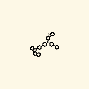 c1ccc(-c2ccc(N(c3ccc(-c4ccc(-n5c6ccccc6c6ccc7ccccc7c65)cc4)cc3)c3ccc4sc5ccccc5c4c3)cc2)cc1